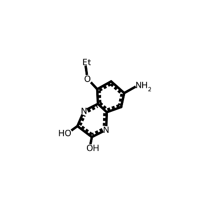 CCOc1cc(N)cc2nc(O)c(O)nc12